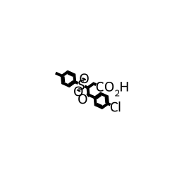 Cc1ccc(S(=O)(=O)C(CC(=O)O)C(=O)c2ccc(Cl)cc2)cc1